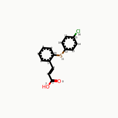 O=C(O)/C=C/c1ccccc1Sc1ccc(Cl)cc1